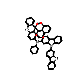 c1ccc(N(c2ccc3c(c2)C2(c4ccccc4O3)c3ccccc3-c3cccc4cccc2c34)c2ccc3c4ccccc4n(-c4ccc5c(c4)oc4ccccc45)c3c2)cc1